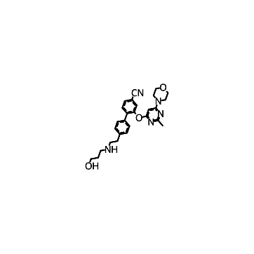 Cc1nc(Oc2cc(C#N)ccc2-c2ccc(CCNCCCO)cc2)cc(N2CCOCC2)n1